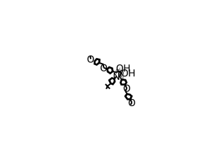 COc1ccc(COc2ccc(C3[C@H](O)[C@@H](O)[C@@H](c4ccc(OCc5ccc(OC)cc5)cc4)N3c3ccc(C(C)(C)C)cc3)cc2)cc1